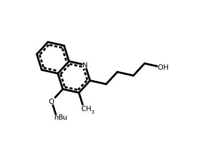 CCCCOc1c(C)c(CCCCO)nc2ccccc12